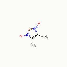 Cc1c(C)[n+]([O-])s[n+]1[O-]